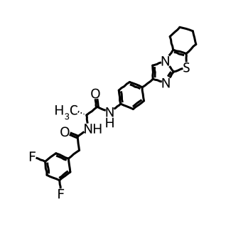 C[C@@H](NC(=O)Cc1cc(F)cc(F)c1)C(=O)Nc1ccc(-c2cn3c4c(sc3n2)CCCC4)cc1